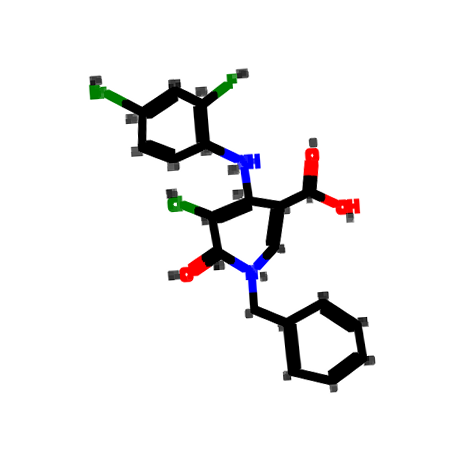 O=C(O)c1cn(Cc2ccccc2)c(=O)c(Cl)c1Nc1ccc(Br)cc1F